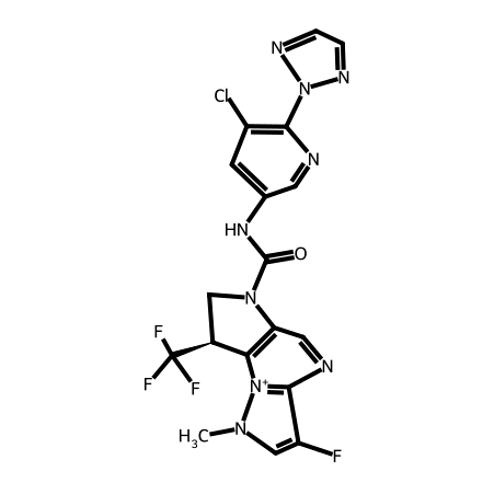 Cn1cc(F)c2ncc3c([n+]21)[C@@H](C(F)(F)F)CN3C(=O)Nc1cnc(-n2nccn2)c(Cl)c1